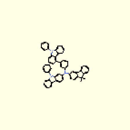 CC1(C)c2ccccc2-c2cc(N(c3cccc(-c4cccc5c4c4ccccc4n5-c4ccccc4)c3)c3ccc4c5ccccc5n(-c5ccccc5)c4c3)ccc21